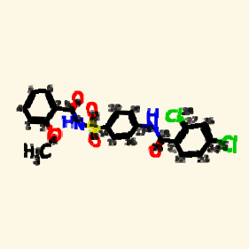 COc1ccccc1C(=O)NS(=O)(=O)c1ccc(NC(=O)c2ccc(Cl)cc2Cl)cc1